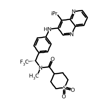 CC(C)c1c(Nc2ccc([C@H](N(C)C(=O)C3CCS(=O)(=O)CC3)C(F)(F)F)cc2)cnc2cccnc12